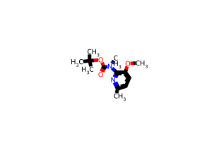 COc1ccc(C)nc1N(C)C(=O)OC(C)(C)C